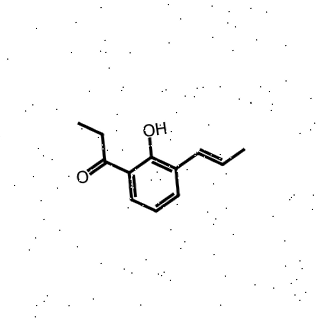 CC=Cc1cccc(C(=O)CC)c1O